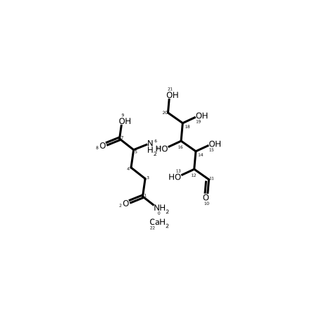 NC(=O)CCC(N)C(=O)O.O=CC(O)C(O)C(O)C(O)CO.[CaH2]